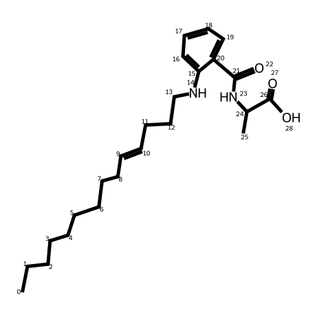 CCCCCCCCCC=CCCCNc1ccccc1C(=O)NC(C)C(=O)O